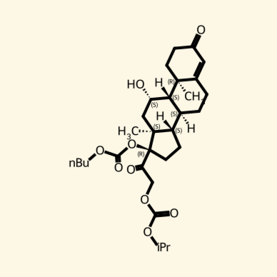 CCCCOC(=O)O[C@]1(C(=O)COC(=O)OC(C)C)CC[C@H]2[C@@H]3CCC4=CC(=O)CC[C@]4(C)[C@H]3[C@@H](O)C[C@@]21C